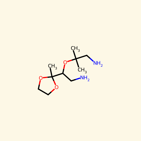 CC(C)(CN)OC(CN)C1(C)OCCO1